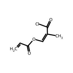 C=CC(=O)OC=C(C)C(=O)Cl